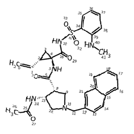 C=C[C@@H]1C[C@]1(NC(=O)[C@@H]1CN(Cc2ccc3ccccc3c2)C[C@@H]1NC(C)=O)C(=O)NS(=O)(=O)c1ccccc1NC